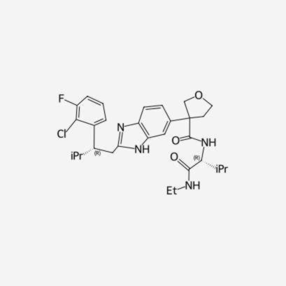 CCNC(=O)[C@H](NC(=O)C1(c2ccc3nc(C[C@@H](c4cccc(F)c4Cl)C(C)C)[nH]c3c2)CCOC1)C(C)C